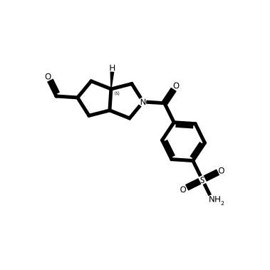 NS(=O)(=O)c1ccc(C(=O)N2CC3CC(C=O)C[C@@H]3C2)cc1